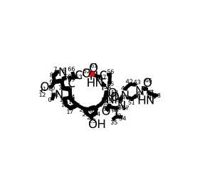 CCn1c(-c2cnccc2COC)c2c3cc(ccc31)-c1cc(O)cc(c1)C[C@H](NC(=O)[C@H](C(C)C)N(C)C(=O)N1CCCN(C(=O)[C@H]3CN3)CC1)C(=O)N1CCC[C@H](N1)C(=O)OCC(C)(C)C2